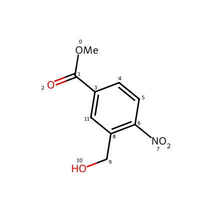 COC(=O)c1ccc([N+](=O)[O-])c(CO)c1